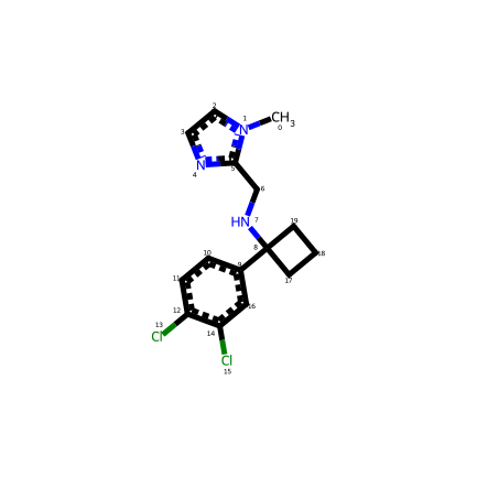 Cn1ccnc1CNC1(c2ccc(Cl)c(Cl)c2)CCC1